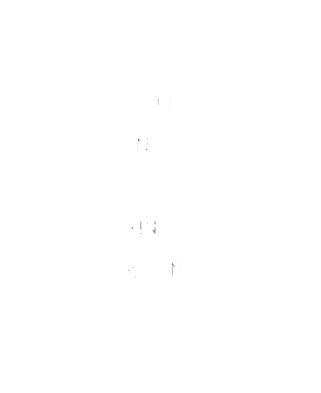 Clc1ccc(CNc2nccs2)cn1